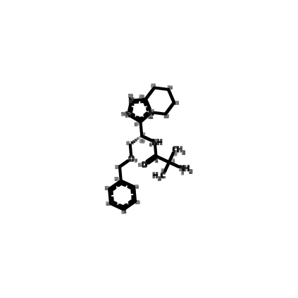 CC(C)(N)C(=O)N[C@H](COCc1ccccc1)c1nnc2n1CCCC2